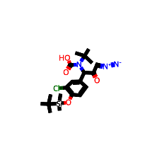 CC(C)(C)N(C(=O)O)C(C(=O)C=[N+]=[N-])c1ccc(O[Si](C)(C)C(C)(C)C)c(Cl)c1